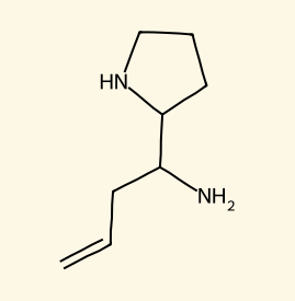 C=CCC(N)C1CCCN1